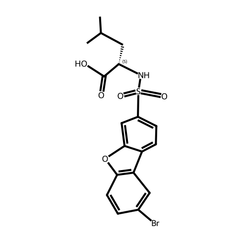 CC(C)C[C@H](NS(=O)(=O)c1ccc2c(c1)oc1ccc(Br)cc12)C(=O)O